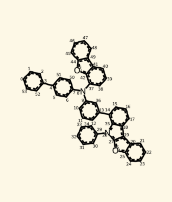 c1ccc(-c2ccc(N(c3cccc(-c4cccc5c6c7ccccc7oc6n(-c6ccccc6)c45)c3)c3cccc4c3oc3ccccc34)cc2)cc1